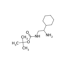 CC(C)(C)OC(=O)NCC(N)C1CCCCC1